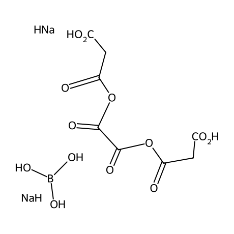 O=C(O)CC(=O)OC(=O)C(=O)OC(=O)CC(=O)O.OB(O)O.[NaH].[NaH]